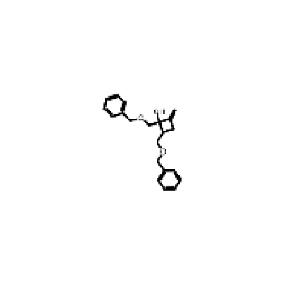 C=C1CC(COCc2ccccc2)C1(O)COCc1ccccc1